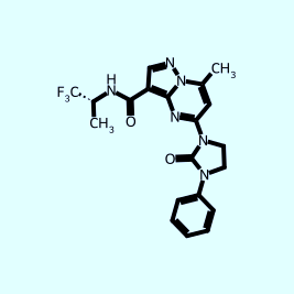 Cc1cc(N2CCN(c3ccccc3)C2=O)nc2c(C(=O)N[C@H](C)C(F)(F)F)cnn12